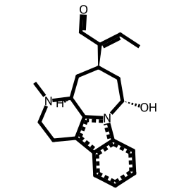 C/C=C(/C=O)[C@@H]1C[C@H]2c3c(c4ccccc4n3[C@@H](O)C1)CCN2C